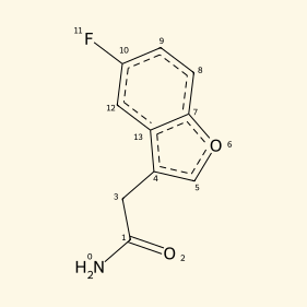 NC(=O)Cc1coc2ccc(F)cc12